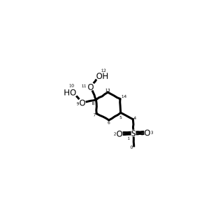 CS(=O)(=O)CC1CCC(OO)(OO)CC1